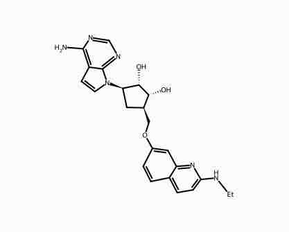 CCNc1ccc2ccc(OC[C@H]3C[C@@H](n4ccc5c(N)ncnc54)[C@H](O)[C@@H]3O)cc2n1